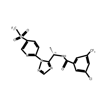 C[C@H](NC(=O)c1cc(Cl)cc(C(F)(F)F)c1)c1ncnn1-c1ccc(S(=O)(=O)C(F)(F)F)cn1